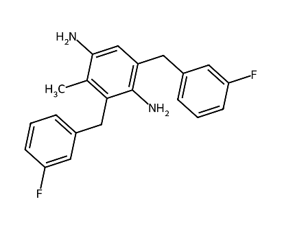 Cc1c(N)cc(Cc2cccc(F)c2)c(N)c1Cc1cccc(F)c1